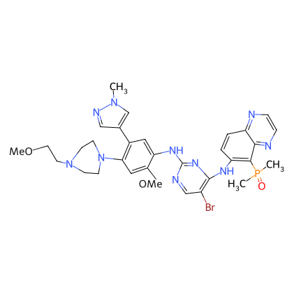 COCCN1CCN(c2cc(OC)c(Nc3ncc(Br)c(Nc4ccc5nccnc5c4P(C)(C)=O)n3)cc2-c2cnn(C)c2)CC1